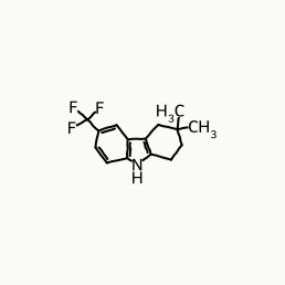 CC1(C)CCc2[nH]c3ccc(C(F)(F)F)cc3c2C1